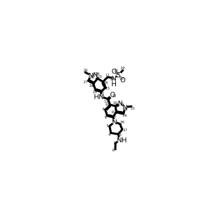 CCNC1CCN(c2ccc(C(=O)Nc3cc(CNS(C)(=O)=O)c4nn(C)cc4c3)c3nn(C)cc23)CC1